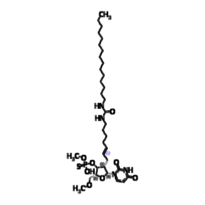 CCCCCCCCCCCCCCCNC(=O)NCCCC/C=C/C[C@H]1C(OP(O)(=S)OC)[C@@H](COC)O[C@H]1n1ccc(=O)[nH]c1=O